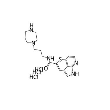 Cl.Cl.Cl.O=C(NCCCN1CCCNCC1)C1=Cc2c[nH]c3nccc(c23)S1